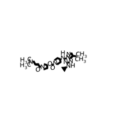 CC(C)c1cnn2c(NC3CCN(C(=O)OC4CCN(C(=O)C=CCN(C)C)C4)CC3)nc(NC3CC3)nc12